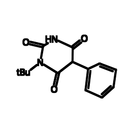 CC(C)(C)N1C(=O)NC(=O)C(c2ccccc2)C1=O